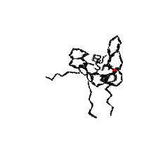 CCCCCCOc1ccc2ccccc2[c]1[Sn]([Br])([c]1c(OCCCCCC)ccc2ccccc12)[c]1c(OCCCCCC)ccc2ccccc12